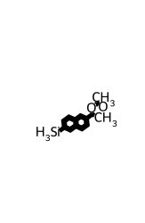 CC(=O)OC(C)c1ccc2cc([SiH3])ccc2c1